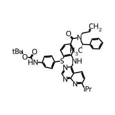 C=CCN(C(=O)c1ccc(Sc2ccc(NC(=O)OC(C)(C)C)cc2)c(Nc2ncnc3nc(C(C)C)ccc23)c1)[C@@H](C)c1ccccc1